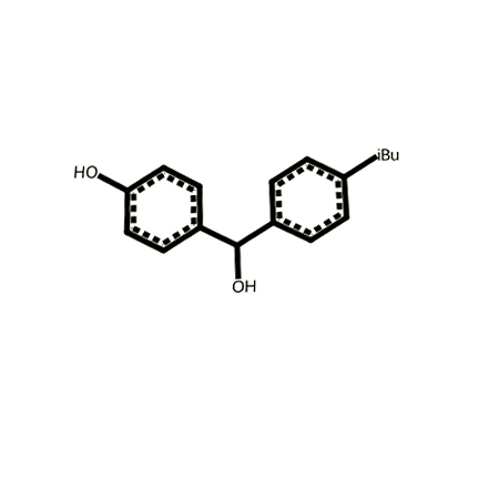 CCC(C)c1ccc(C(O)c2ccc(O)cc2)cc1